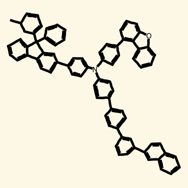 CC1C=CC=C(C2(c3ccccc3)c3ccccc3-c3ccc(-c4ccc(N(c5ccc(-c6ccc(-c7cccc(-c8ccc9ccccc9c8)c7)cc6)cc5)c5ccc(-c6cccc7oc8ccccc8c67)cc5)cc4)cc32)C1